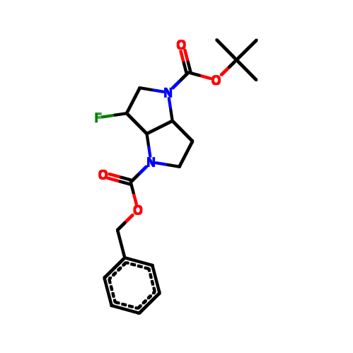 CC(C)(C)OC(=O)N1CC(F)C2C1CCN2C(=O)OCc1ccccc1